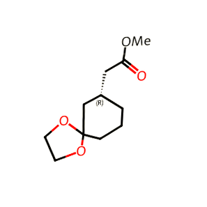 COC(=O)C[C@@H]1CCCC2(C1)OCCO2